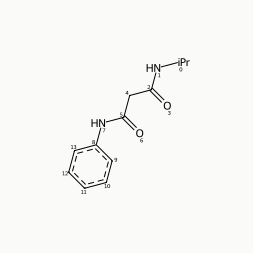 CC(C)NC(=O)CC(=O)Nc1ccccc1